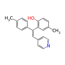 Cc1ccc(C(=Cc2ccncc2)c2cc(C)ccc2O)cc1